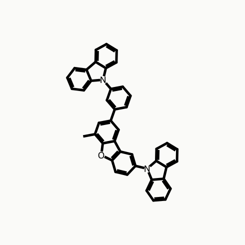 Cc1cc(-c2cccc(-n3c4ccccc4c4ccccc43)c2)cc2c1oc1ccc(-n3c4ccccc4c4ccccc43)cc12